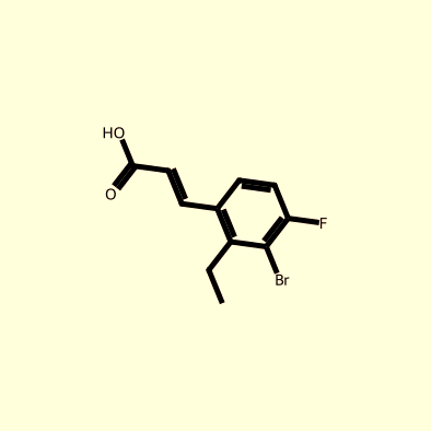 CCc1c(C=CC(=O)O)ccc(F)c1Br